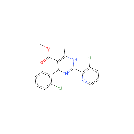 COC(=O)C1=C(C)NC(c2ncccc2Cl)=NC1c1ccccc1Cl